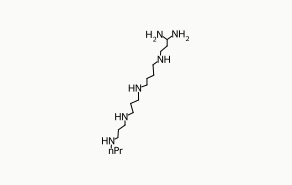 CCCNCCCNCCCNCCCCNCCC(N)N